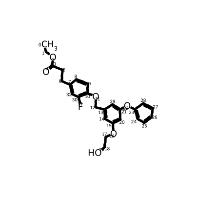 CCOC(=O)CCc1ccc(OCc2cc(OCCO)cc(Oc3ccccc3)c2)c(F)c1